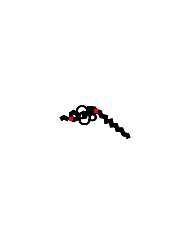 CCCCCCCCCCCCc1ccc(C(=O)O[C@H]2CC[C@H](CCC)CC2)s1